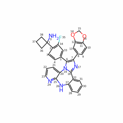 NC1(c2ccc(-c3c(-c4ccc5c(c4)OCO5)nc4n3-c3cccnc3Nc3ccccc3-4)cc2F)CCC1